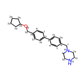 c1cc(-c2ccc(CN3CCNCC3)cc2)ccc1COC1CCCC1